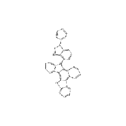 c1ccc(-n2cnc3c(-n4c5ccccc5c5c6oc7ccccc7c6c6ccccc6c54)cccc32)cc1